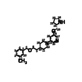 Cc1cccc(COCCC2CCN(c3cncc(OC[C@@H]4CCCN4)c3)CC2)c1